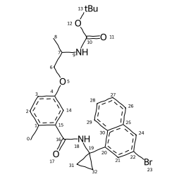 Cc1ccc(OCC(C)NC(=O)OC(C)(C)C)cc1C(=O)NC1(c2cc(Br)cc3ccccc23)CC1